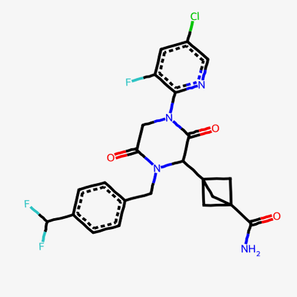 NC(=O)C12CC(C3C(=O)N(c4ncc(Cl)cc4F)CC(=O)N3Cc3ccc(C(F)F)cc3)(C1)C2